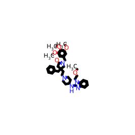 CCOCCn1c(NC2CCN(CCC3(Cc4ccccc4)CC(=O)N(Cc4cc(OC)c(OC)c(OC)c4)C3)CC2)nc2ccccc21